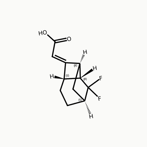 O=C(O)C=C1[C@H]2CC[C@H]3C[C@@H]1[C@@H]2C3(F)F